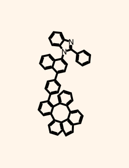 c1ccc(-c2nc3ccccc3n2-c2ccc(-c3ccc(-c4cccc5c6cccc7ccc8cccc(c9ccccc9c45)c8c76)cc3)c3ccccc23)cc1